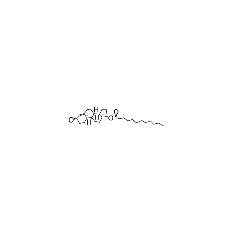 CCCCCCCCCCCC(=O)O[C@H]1CC[C@H]2[C@@H]3CCC4=CC(=O)CC[C@]4(C)[C@H]3CC[C@]12C